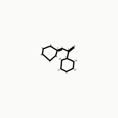 C=C(C=C1[CH]CCCC1)C1CCCCC1